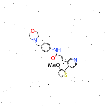 COc1ccsc1-c1ccncc1C=CC(=O)Nc1ccc(CN2CCOCC2)cc1